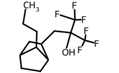 CCCC1C2CCC1C(CC(O)(C(F)(F)F)C(F)(F)F)C2